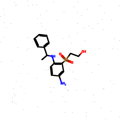 CC(Nc1ccc(N)cc1S(=O)(=O)CCO)c1ccccc1